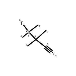 CC(C)(C#N)[Si](C)(C)F